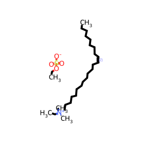 CCCCCCCC/C=C\CCCCCCCCCCCC[N+](C)(C)CC.CCOS(=O)(=O)[O-]